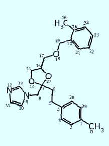 Cc1ccc(CCC2(Cn3ccnc3)OCC(COCc3ccccc3C)O2)cc1